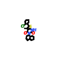 Cc1c(-c2ccccc2Cl)sc2[nH]c(=O)n(-c3cccc4ccccc34)c(=O)c12